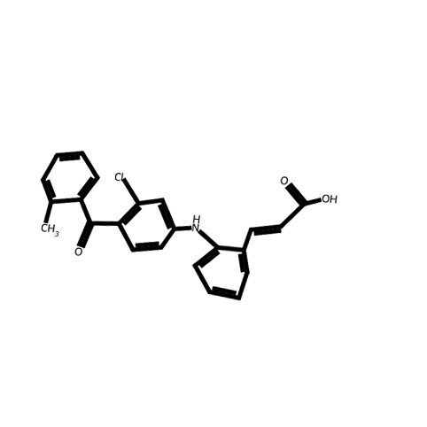 Cc1ccccc1C(=O)c1ccc(Nc2ccccc2C=CC(=O)O)cc1Cl